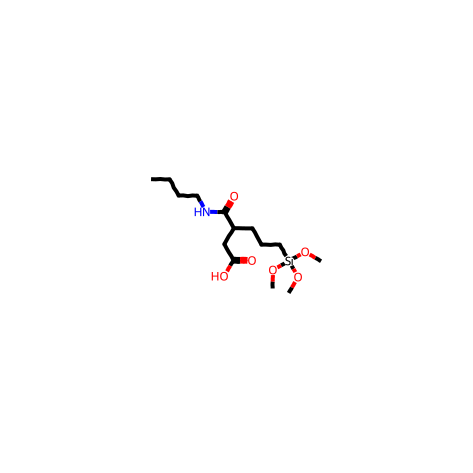 CCCCNC(=O)C(CCC[Si](OC)(OC)OC)CC(=O)O